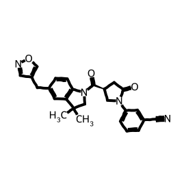 CC1(C)CN(C(=O)[C@H]2CC(=O)N(c3cccc(C#N)c3)C2)c2ccc(Cc3cnoc3)cc21